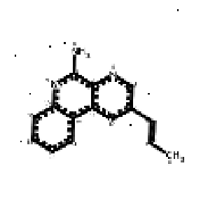 CC=Cc1cnc2c(N)nc3ccccc3c2c1